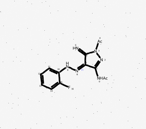 CC(=O)NC1=NN(C(C)=O)C(=N)/C1=N\Nc1ccccc1F